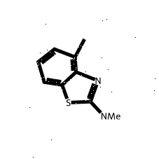 CNc1nc2c(C)cccc2s1